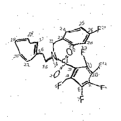 O=S(=O)(c1c(F)c(F)c(F)c(F)c1F)N(Cc1ccccc1)Cc1ccc(F)cc1